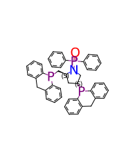 O=P(c1ccccc1)(c1ccccc1)N1C[C@@H](P2c3ccccc3Cc3ccccc32)C[C@H]1CP1c2ccccc2Cc2ccccc21